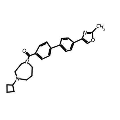 Cc1nc(-c2ccc(-c3ccc(C(=O)N4CCCN(C5CCC5)CC4)cc3)cc2)co1